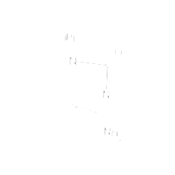 C=C1CN(C(C)C)C(=O)N=C1N